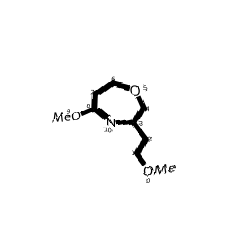 COCCC1COCCC(OC)=N1